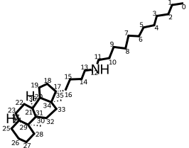 CCCCCCCCCCCCNCCCC[C@H]1CCC2[C@@H]3CC[C@@H]4CCCC[C@]4(C)C3CC[C@@]21C